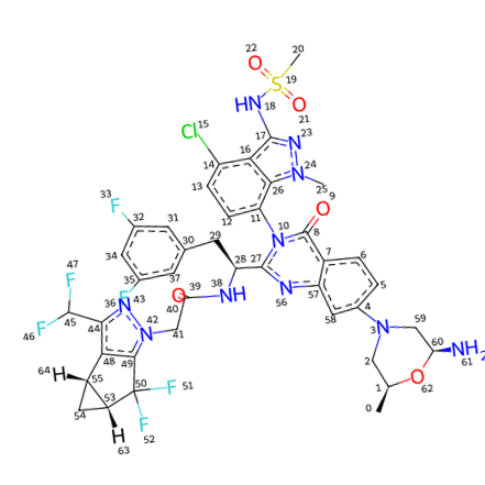 C[C@H]1CN(c2ccc3c(=O)n(-c4ccc(Cl)c5c(NS(C)(=O)=O)nn(C)c45)c([C@H](Cc4cc(F)cc(F)c4)NC(=O)Cn4nc(C(F)F)c5c4C(F)(F)[C@@H]4C[C@H]54)nc3c2)C[C@@H](N)O1